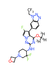 [2H]C([2H])([2H])Oc1nc(N[C@@H]2CCN(C3COC3)CC2(F)F)nn2cc(F)c(-c3ccc4nnn(CC(F)(F)F)c4c3)c12